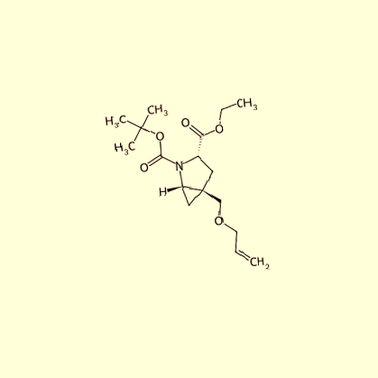 C=CCOC[C@@]12C[C@@H]1N(C(=O)OC(C)(C)C)[C@H](C(=O)OCC)C2